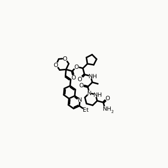 CCc1ccc2ccc(/C=C/C3(C(=O)OC(C(=O)NC(C)C(=O)N4CCCC(C(N)=O)N4)C4CCCC4)COCOC3)cc2n1